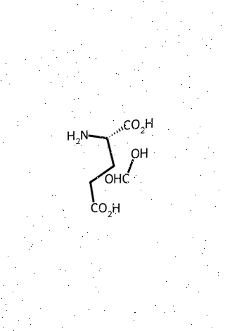 N[C@@H](CCC(=O)O)C(=O)O.O=CO